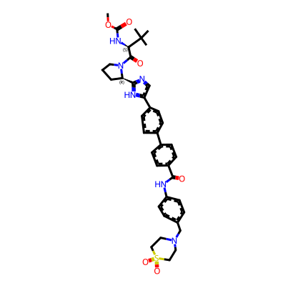 COC(=O)N[C@H](C(=O)N1CCC[C@@H]1c1ncc(-c2ccc(-c3ccc(C(=O)Nc4ccc(CN5CCS(=O)(=O)CC5)cc4)cc3)cc2)[nH]1)C(C)(C)C